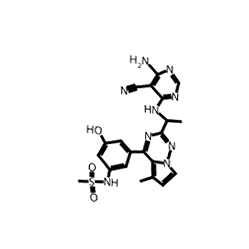 Cc1ccn2nc(C(C)Nc3ncnc(N)c3C#N)nc(-c3cc(O)cc(NS(C)(=O)=O)c3)c12